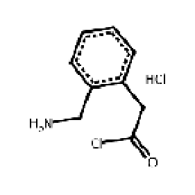 Cl.NCc1ccccc1CC(=O)Cl